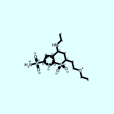 CCNC1CC(CCOCC)S(=O)(=O)c2sc(S(N)(=O)=O)cc21